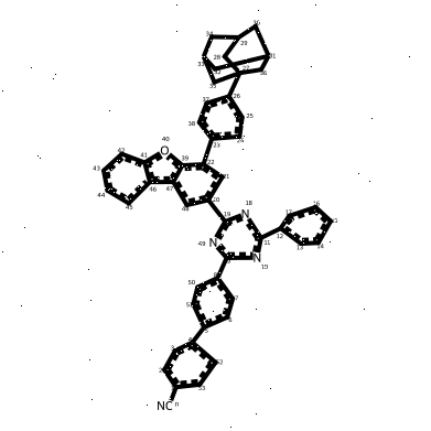 N#Cc1ccc(-c2ccc(-c3nc(-c4ccccc4)nc(-c4cc(-c5ccc(C67CC8CC(CC(C8)C6)C7)cc5)c5oc6ccccc6c5c4)n3)cc2)cc1